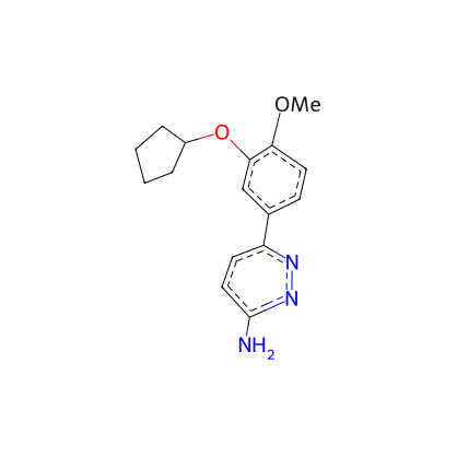 COc1ccc(-c2ccc(N)nn2)cc1OC1CCCC1